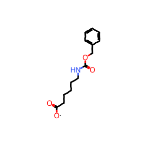 [O]C(=O)CCCCCNC(=O)OCc1ccccc1